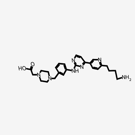 NCCCCc1ccc(-c2ccnc(Nc3cccc(CN4CCN(CC(=O)O)CC4)c3)n2)cn1